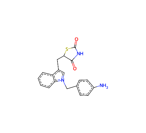 Nc1ccc(Cn2cc(CC3SC(=O)NC3=O)c3ccccc32)cc1